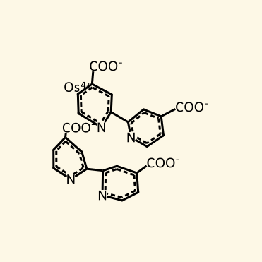 O=C([O-])c1ccnc(-c2cc(C(=O)[O-])ccn2)c1.O=C([O-])c1ccnc(-c2cc(C(=O)[O-])ccn2)c1.[Os+4]